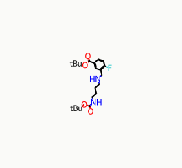 CC(C)(C)OC(=O)NCCCCNCc1cc(C(=O)OC(C)(C)C)ccc1F